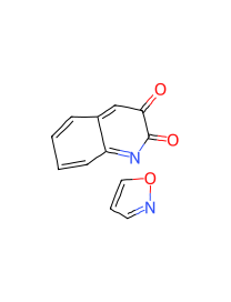 O=C1C=c2ccccc2=NC1=O.c1cnoc1